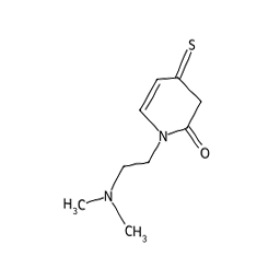 CN(C)CCN1C=CC(=S)CC1=O